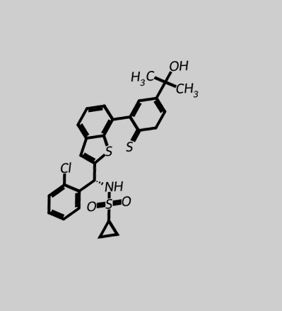 CC(C)(O)C1=CCC(=S)C(c2cccc3cc([C@H](NS(=O)(=O)C4CC4)c4ccccc4Cl)sc23)=C1